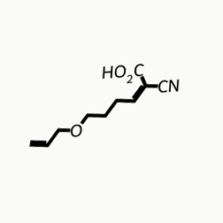 C=CCOCCCC=C(C#N)C(=O)O